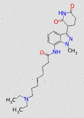 CCN(CC)CCCCCCCC(=O)Nc1cccc2c(C3CCC(=O)NC3=O)nn(C)c12